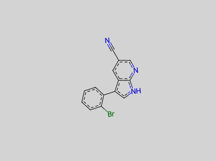 N#Cc1cnc2[nH]cc(-c3ccccc3Br)c2c1